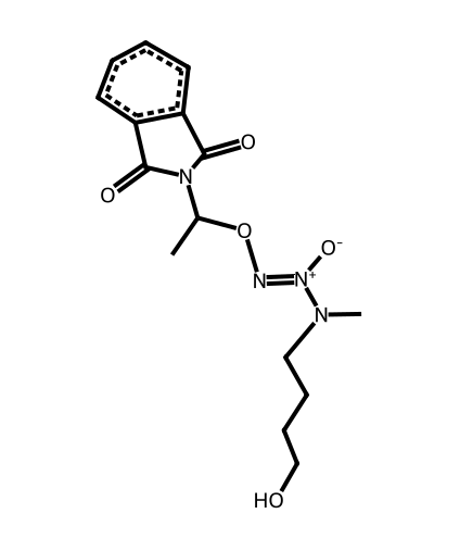 CC(ON=[N+]([O-])N(C)CCCCO)N1C(=O)c2ccccc2C1=O